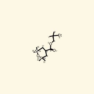 CCC(C)(C)COC(=O)C1C[Si](C)(C)O[Si](C)(C)C1